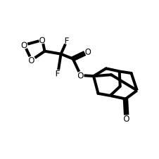 O=C1C2CC3CC1CC(OC(=O)C(F)(F)C1OOO1)(C3)C2